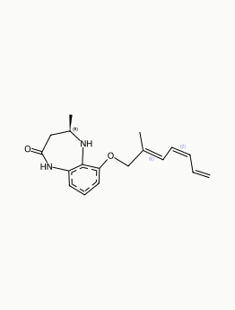 C=C/C=C\C=C(/C)COc1cccc2c1N[C@H](C)CC(=O)N2